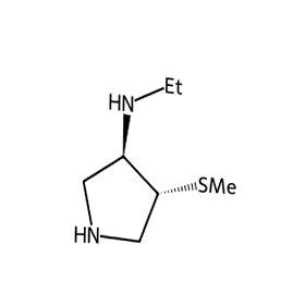 CCN[C@@H]1CNC[C@H]1SC